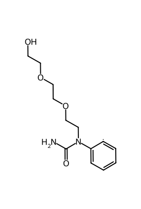 NC(=O)N(CCOCCOCCO)c1[c]cccc1